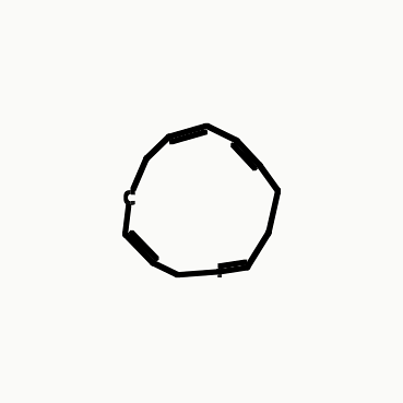 [C]1=CCCC=CC=CCCC=CC1